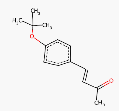 CC(=O)C=Cc1ccc(OC(C)(C)C)cc1